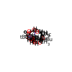 C=C1[C@H](C)CC2CC[C@@H]3O[C@@H](CCC(OC(=O)c4ccccc4)/C=C/[C@H](O[Si](C)(C)C(C)(C)C)[C@@H]4O[C@H]5CC[C@H](CC(=O)C[C@@H]6[C@@H](C)[C@@H](C[C@H](C)CC)O[C@H]6C[C@H]1OC(C)=O)O[C@@H]5[C@H](O[Si](C)(C)C(C)(C)C)[C@@H]4O[Si](C)(C)C(C)(C)C)C[C@]3(CI)O2